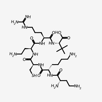 CC(C)(C)[C@H](NC(=O)[C@H](CCCNC(=N)N)NC(=O)[C@H](CCN)NC(=O)[C@H](CS)NC(=O)[C@H](CCCCN)NC(=O)[C@@H](N)CCN)C(=O)O